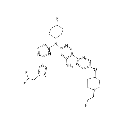 Nc1cc(N(c2ccnc(-c3cnn(CC(F)F)c3)n2)C2CCC(F)CC2)ncc1-c1ccc(OC2CCN(CCF)CC2)cn1